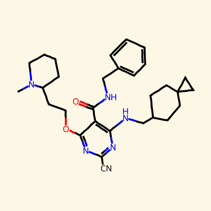 CN1CCCCC1CCOc1nc(C#N)nc(NCC2CCC3(CC2)CC3)c1C(=O)NCc1ccccc1